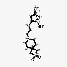 CC(C)n1nc(C(F)(F)F)cc1OCCN1CCC2(CC1)CS(=O)(=O)C2